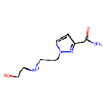 NC(=O)c1ccn(CCNCCO)n1